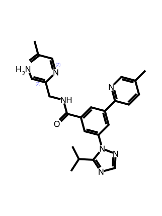 C=C(C)/C=N\C(=C/N)CNC(=O)c1cc(-c2ccc(C)cn2)cc(-n2ncnc2C(C)C)c1